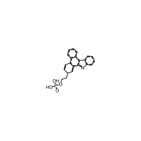 O=P(O)(O)OCCC1C=Cc2c(c3c(c4ccccc24)-c2ccccc2N=3)=C1